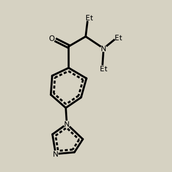 CCC(C(=O)c1ccc(-n2ccnc2)cc1)N(CC)CC